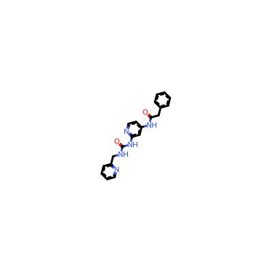 O=C(Cc1ccccc1)Nc1ccnc(NC(=O)NCc2ccccn2)c1